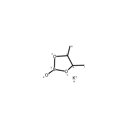 CC1OB([O-])OC1C.[K+]